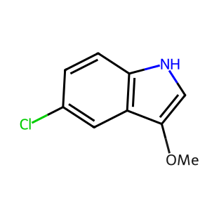 COc1c[nH]c2ccc(Cl)cc12